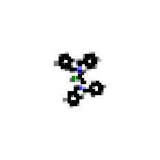 FC(CN(Cc1ccccc1)Cc1ccccc1)CN(Cc1ccccc1)Cc1ccccc1